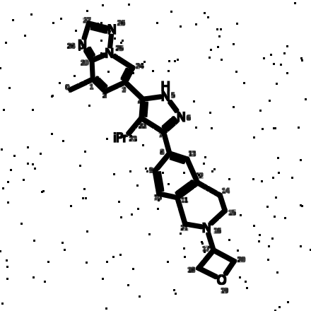 Cc1cc(-c2[nH]nc(-c3ccc4c(c3)CCN(C3COC3)C4)c2C(C)C)cn2ncnc12